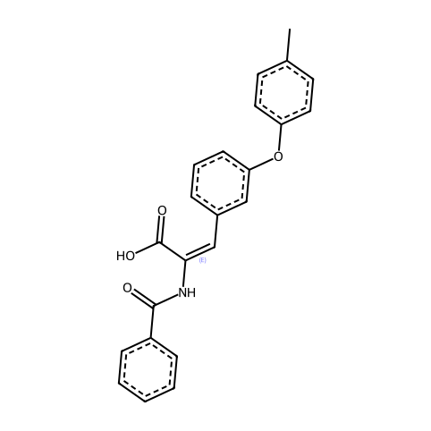 Cc1ccc(Oc2cccc(/C=C(/NC(=O)c3ccccc3)C(=O)O)c2)cc1